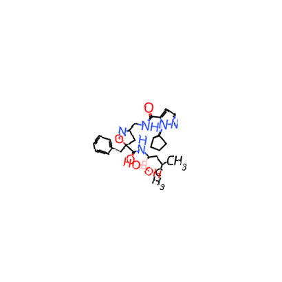 CC(C)CC(NC(=O)C1(Cc2ccccc2)CC(CNC(=O)c2ccnn2C2CCCC2)=NO1)B(O)O